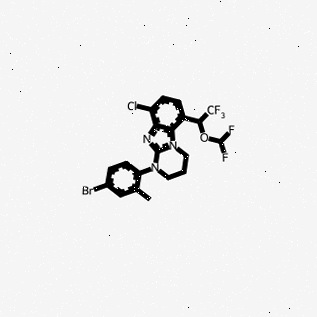 Cc1cc(Br)ccc1N1CCCn2c1nc1c(Cl)ccc(C(OC(F)F)C(F)(F)F)c12